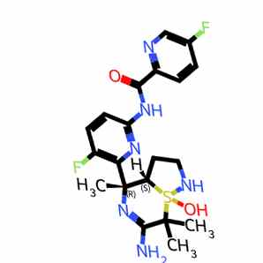 CC1(C)C(N)=N[C@](C)(c2nc(NC(=O)c3ccc(F)cn3)ccc2F)[C@@H]2CCNS21O